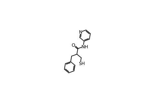 O=C(Nc1cccnc1)C(CS)Cc1ccccc1